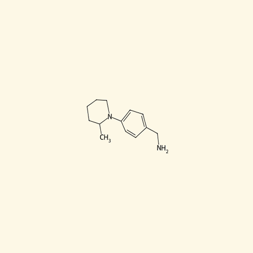 CC1CCCCN1c1ccc(CN)cc1